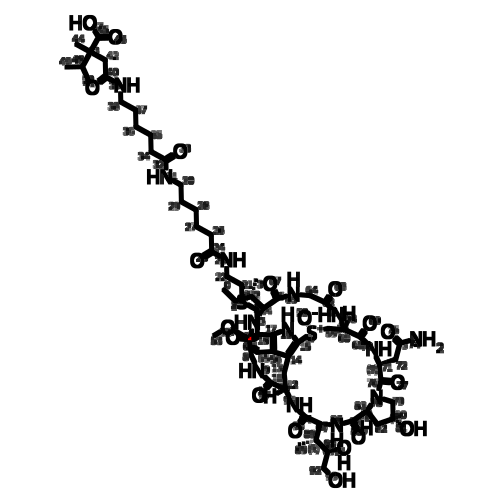 CC[C@H](C)[C@@H]1NC(=O)CNC(=O)[C@@H]2Cc3c([nH]c4c(CSCCNC(=O)CCCCCNC(=O)CCCCCNC(=O)CC(C)(C(=O)O)C(C)C)c(OC)ccc34)[S+]([O-])C[C@H](NC(=O)CNC1=O)C(=O)N[C@@H](CC(N)=O)C(=O)N1C[C@H](O)C[C@H]1C(=O)N[C@@H]([C@@H](C)[C@@H](O)CO)C(=O)N2